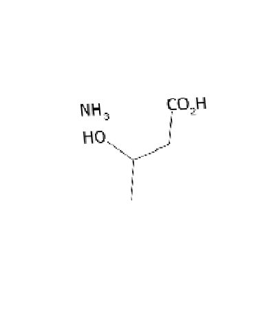 CC(O)CC(=O)O.N